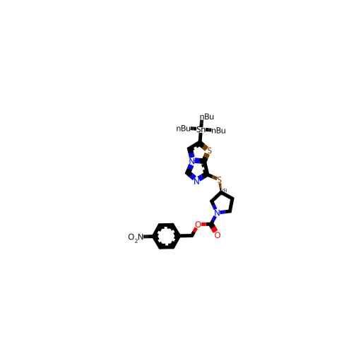 CCC[CH2][Sn]([CH2]CCC)([CH2]CCC)[c]1cn2cnc(S[C@H]3CCN(C(=O)OCc4ccc([N+](=O)[O-])cc4)C3)c2s1